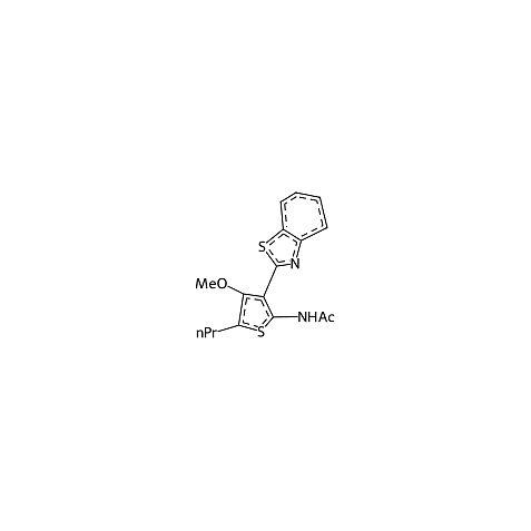 CCCc1sc(NC(C)=O)c(-c2nc3ccccc3s2)c1OC